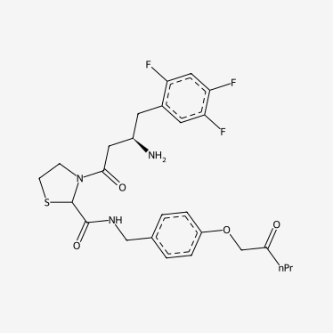 CCCC(=O)COc1ccc(CNC(=O)C2SCCN2C(=O)C[C@H](N)Cc2cc(F)c(F)cc2F)cc1